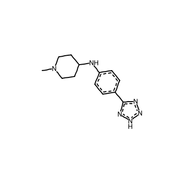 CN1CCC(Nc2ccc(-c3nn[nH]n3)cc2)CC1